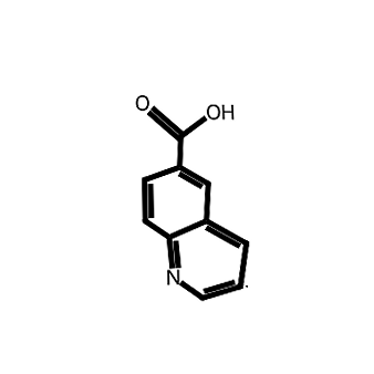 O=C(O)c1ccc2nc[c]cc2c1